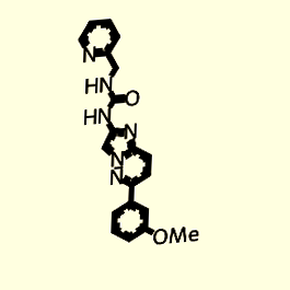 COc1cccc(-c2ccc3nc(NC(=O)NCc4ccccn4)cn3n2)c1